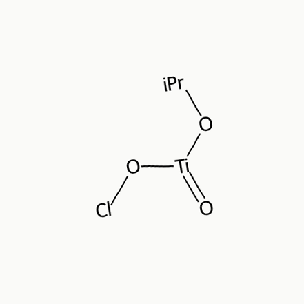 CC(C)[O][Ti](=[O])[O]Cl